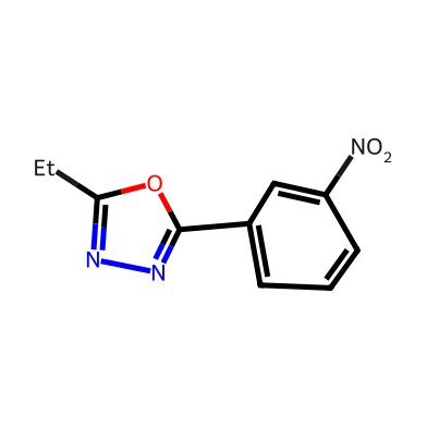 CCc1nnc(-c2cccc([N+](=O)[O-])c2)o1